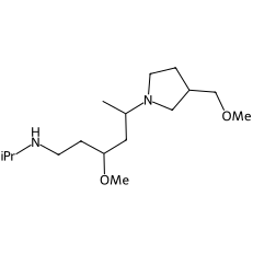 COCC1CCN(C(C)CC(CCNC(C)C)OC)C1